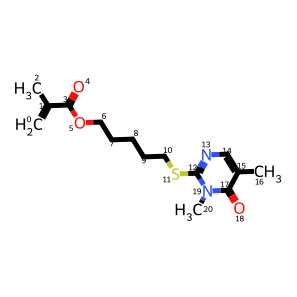 C=C(C)C(=O)OCCCCCSc1ncc(C)c(=O)n1C